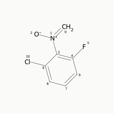 C=[N+]([O-])c1c(F)cccc1Cl